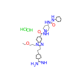 CCOCCCn1c(CCc2ccc(C(=N)N)cc2)nc2cc(C(=O)NN3CCC(NC(=O)Nc4ccccc4)CC3)ccc21.Cl.Cl